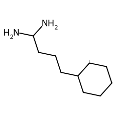 NC(N)CCCC1[CH]CCCC1